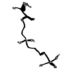 C=C(C)C(=O)OCC[N+](C)(C)CCCCP(=O)([O-])O